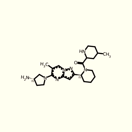 Cc1cn2nc([C@@H]3CCCCN3C(=O)C3CC(C)CCN3)cc2nc1N1CC[C@H](N)C1